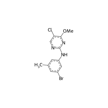 COc1nc(Nc2cc(C)cc(Br)c2)ncc1Cl